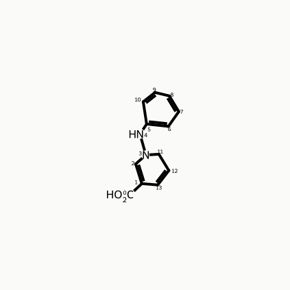 O=C(O)C1=CN(Nc2ccccc2)CC=C1